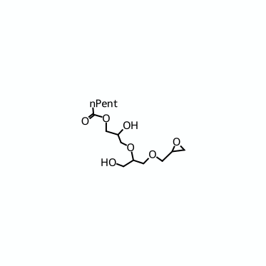 CCCCCC(=O)OCC(O)COC(CO)COCC1CO1